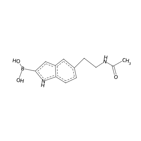 CC(=O)NCCc1ccc2[nH]c(B(O)O)cc2c1